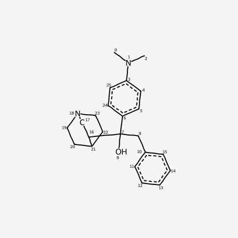 CN(C)c1ccc(C(O)(Cc2ccccc2)C2CN3CCC2CC3)cc1